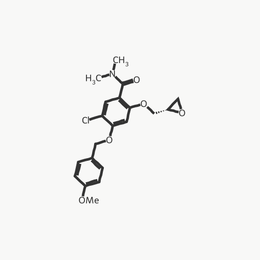 COc1ccc(COc2cc(OC[C@@H]3CO3)c(C(=O)N(C)C)cc2Cl)cc1